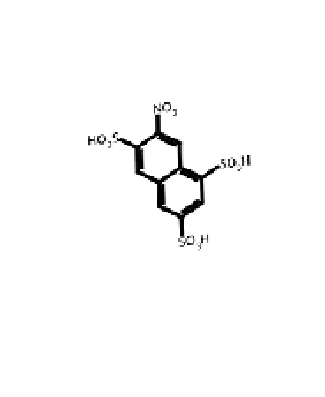 O=[N+]([O-])c1cc2c(S(=O)(=O)O)cc(S(=O)(=O)O)cc2cc1S(=O)(=O)O